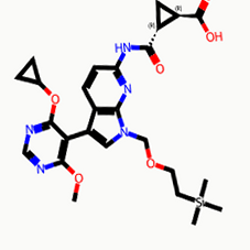 COc1ncnc(OC2CC2)c1-c1cn(COCC[Si](C)(C)C)c2nc(NC(=O)[C@@H]3C[C@H]3C(=O)O)ccc12